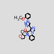 COc1ccccc1-n1cc(-c2ncn3c2c(=O)n(C2CCOC2C)c2ccccc23)nn1